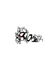 C[C@H](Nc1ncc(F)c(N2C(=O)OCC2(C)C2CC2)n1)c1ccc(CN2CCC(N(C)C)CC2)c(F)c1